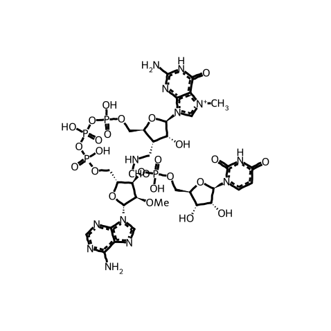 CO[C@@H]1[C@H](OP(=O)(O)OC[C@H]2O[C@@H](n3ccc(=O)[nH]c3=O)[C@H](O)[C@@H]2O)[C@@H](COP(=O)(O)OP(=O)(O)OP(=O)(O)OC[C@H]2O[C@@H](n3c[n+](C)c4c(=O)[nH]c(N)nc43)[C@H](O)[C@@H]2CNC=O)O[C@H]1n1cnc2c(N)ncnc21